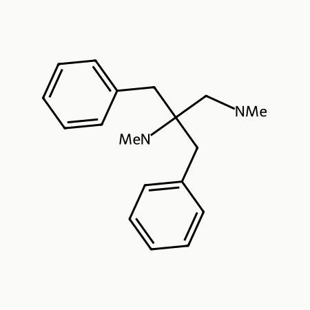 CNCC(Cc1ccccc1)(Cc1ccccc1)NC